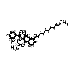 CCCCCCCCCCOc1cccc2c(OC(C)C)c(OC(=O)c3ccccc3)c(=O)oc12